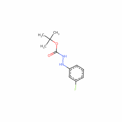 CC(C)(C)OC(=O)NNc1cccc(F)c1